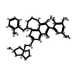 Cc1cc(N)nc(-c2c(Cl)c3c4c(nc(OC[C@@]56CCCN5C[C@H](F)C6)nc4c2F)N(Cc2cccnc2N)CCO3)c1C(F)(F)F